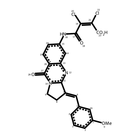 COc1cccc(/C=C2\CCn3c2nc2cc(NC(=O)/C(Cl)=C(/Cl)C(=O)O)ccc2c3=O)c1